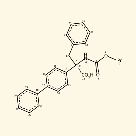 CC(C)OC(=O)N[C@@](Cc1ccccc1)(C(=O)O)c1ccc(-c2ccccc2)cc1